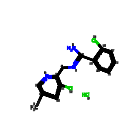 Cl.NC(=NCc1ncc(C(F)(F)F)cc1Cl)c1ccccc1Cl